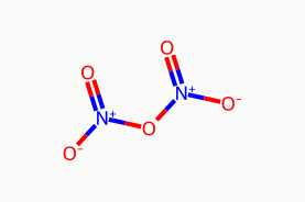 O=[N+]([O-])O[N+](=O)[O-]